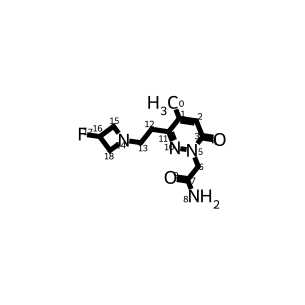 Cc1cc(=O)n(CC(N)=O)nc1CCN1CC(F)C1